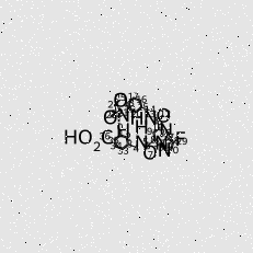 Cc1cc(CNC(=O)c2cc(C(=O)NCc3ccc4c(c3)NC(=O)CO4)nc3c(F)cnn23)ccc1C(=O)O